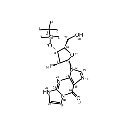 CC(C)(C)[Si](C)(C)O[C@H]1[C@H](F)[C@H](n2cnc3c(=O)n4cc[nH]c4nc32)O[C@@H]1CO